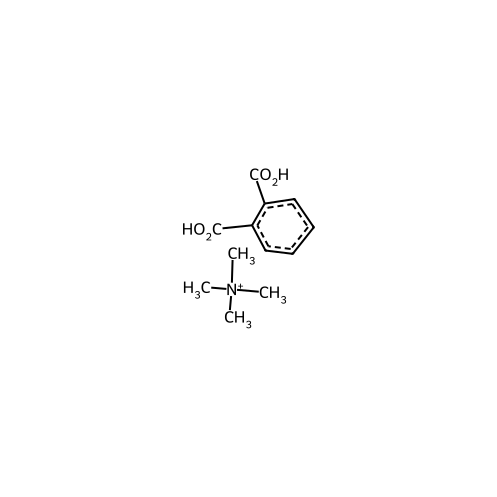 C[N+](C)(C)C.O=C(O)c1ccccc1C(=O)O